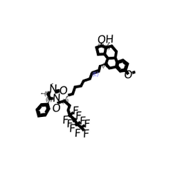 COc1ccc2c(c1)C[C@@H](C/C=C/CCCCCC[C@H](CCC(F)(F)C(F)(F)C(F)(F)C(F)(F)F)C(=O)N1C(=O)N(C)[C@@H](C)[C@H]1c1ccccc1)C1C2CC[C@@]2(C)C1CC[C@@H]2O